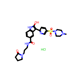 CN1CCN(S(=O)(=O)c2ccc(-c3c(O)[nH]c4ccc(C(=O)NCCCN5CCCC5=O)cc34)nc2)CC1.Cl